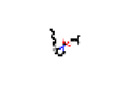 CCCCC[C@@H]1CCCN1C(=O)OCC(C)C